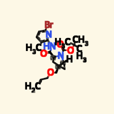 C=CCOC[C@@]12C[C@@H](C(=O)Nc3nc(Br)ccc3C)N(C(=O)OC(C)(C)C)[C@@H]1C2